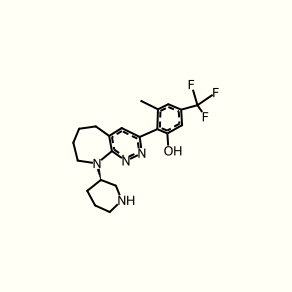 Cc1cc(C(F)(F)F)cc(O)c1-c1cc2c(nn1)N([C@@H]1CCCNC1)CCCC2